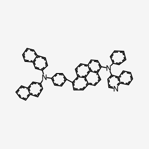 c1ccc(N(c2ccnc3ccccc23)c2ccc3ccc4c(-c5ccc(N(c6ccc7ccccc7c6)c6ccc7ccccc7c6)cc5)ccc5ccc2c3c54)cc1